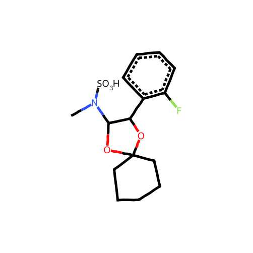 CN(C1OC2(CCCCC2)OC1c1ccccc1F)S(=O)(=O)O